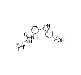 CC(C)(O)c1ccn2c(-c3cccc(NC(=O)NCC(F)(F)F)c3)cnc2c1